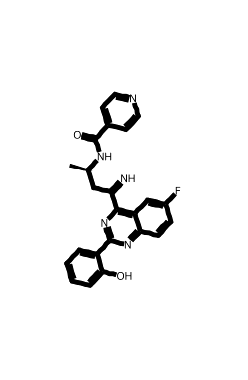 C[C@H](CC(=N)c1nc(-c2ccccc2O)nc2ccc(F)cc12)NC(=O)c1ccncc1